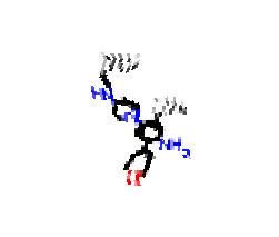 CNCCNC1CCN(c2cc(C3CCOCC3)c(N)cc2OC)CC1